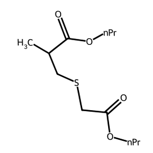 CCCOC(=O)CSCC(C)C(=O)OCCC